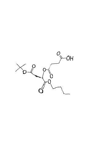 CCCCOC(=O)[C@@H](CC(=O)OC(C)(C)C)OC(=O)CCC(=O)O